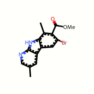 COC(=O)c1c(Br)cc2c([nH]c3ncc(C)cc32)c1C